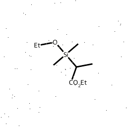 CCOC(=O)C(C)[Si](C)(C)OCC